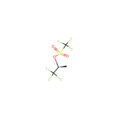 C[C@H](OS(=O)(=O)C(F)(F)F)C(F)(F)F